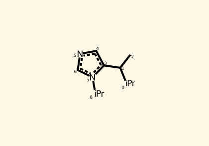 CC(C)C(C)c1cncn1C(C)C